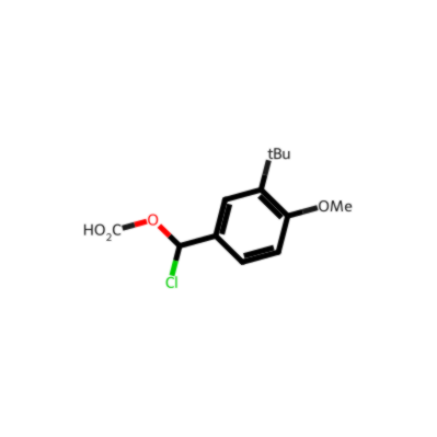 COc1ccc(C(Cl)OC(=O)O)cc1C(C)(C)C